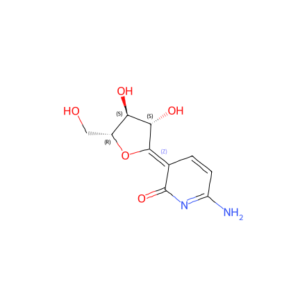 NC1=NC(=O)/C(=C2\O[C@H](CO)[C@@H](O)[C@@H]2O)C=C1